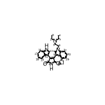 CCN(CC)CCn1cc(C2=C(c3c[nH]c4ccccc34)C(=O)NC2=O)c2c(Cl)cccc21